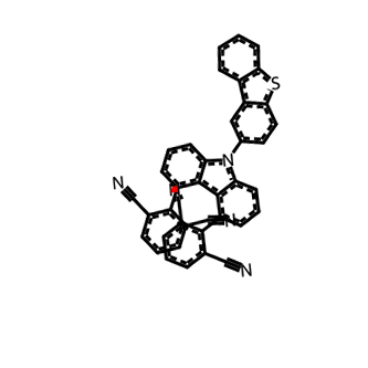 N#Cc1cccc(C#N)c1-c1cccc2c1c1c(-c3c(C#N)cccc3C#N)cccc1n2-c1ccc2sc3ccccc3c2c1